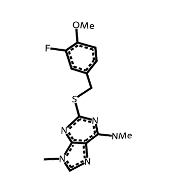 CNc1nc(SCc2ccc(OC)c(F)c2)nc2c1ncn2C